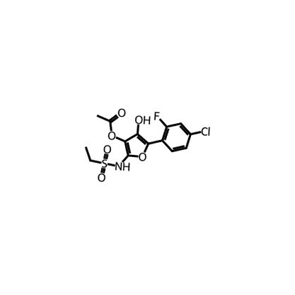 CCS(=O)(=O)Nc1oc(-c2ccc(Cl)cc2F)c(O)c1OC(C)=O